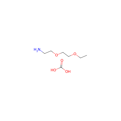 CCOCCOCCN.O=C(O)O